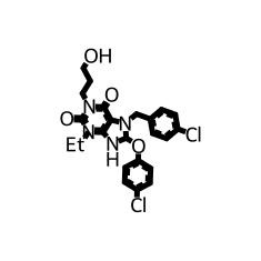 CCn1c2c(c(=O)n(CCCO)c1=O)N(Cc1ccc(Cl)cc1)C(Oc1ccc(Cl)cc1)N2